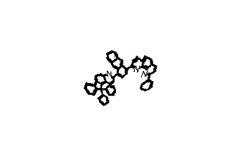 c1ccc(-c2ccc3ccc4ccc(-c5ccc(-c6ccc7c8c(ccc7n6)-c6ccccc6C8(c6ccccc6)c6ccccc6)c6cc7ccccc7cc56)nc4c3n2)cc1